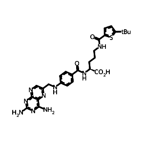 CC(C)(C)c1ccc(C(=O)NCCC[C@H](NC(=O)c2ccc(NCc3cnc4nc(N)nc(N)c4n3)cc2)C(=O)O)s1